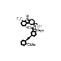 COc1ccccc1C#Cc1ccc(OC(C)C)c(C(O)NC2(CO)CCc3[nH]c4c(C(F)(F)F)cccc4c3C2)c1